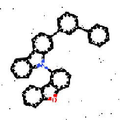 c1ccc(-c2cccc(-c3ccc4c5ccccc5n(-c5cccc6oc7ccccc7c56)c4c3)c2)cc1